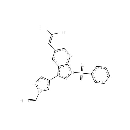 C=Cn1cc(-c2cn(S(=O)(=O)c3ccccc3)c3ncc(C=C(C)C)cc23)cn1